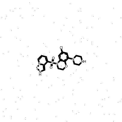 O=S(=O)(C1=CC=CN2SNC=C12)N1CCOc2c(N3CCNCC3)cc(Cl)cc21